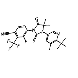 Cc1cc(N2C(=S)N(c3ccc(C#N)c(C(F)(F)F)c3F)C(=O)C2(C)C)cnc1C(C)(C)C